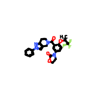 CC(Oc1ccc(N2CCOC2=O)cc1C(=O)N1CCc2nn(-c3ccccc3)cc2C1)C(F)(F)F